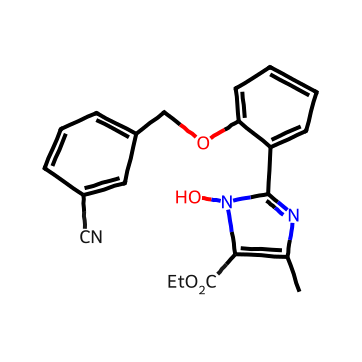 CCOC(=O)c1c(C)nc(-c2ccccc2OCc2cccc(C#N)c2)n1O